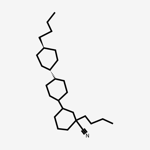 CCCCC1(C#N)CCCC(C2CCC([C@H]3CC[C@H](CCCC)CC3)CC2)C1